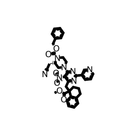 COC(=O)C1(Cc2nc(-c3cccnc3)nc(N3CCN(C(=O)OCc4ccccc4)[C@@H](CC#N)C3)c2[N+](=O)[O-])CCCc2ccccc21